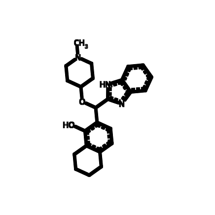 CN1CCC(OC(c2nc3ccccc3[nH]2)c2ccc3c(c2O)CCCC3)CC1